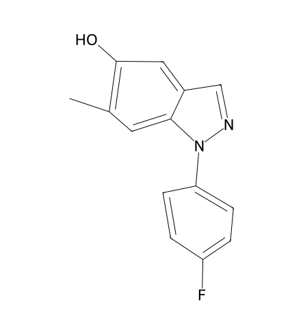 Cc1cc2c(cnn2-c2ccc(F)cc2)cc1O